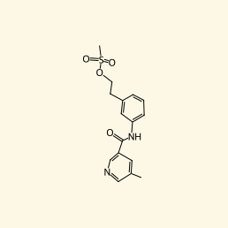 Cc1cncc(C(=O)Nc2cccc(CCOS(C)(=O)=O)c2)c1